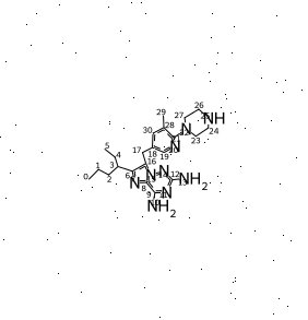 CCCC(CC)c1nc2c(N)nc(N)nn2c1Cc1cnc(N2CCNCC2)c(C)c1